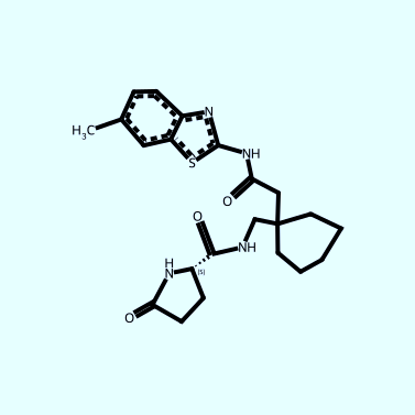 Cc1ccc2nc(NC(=O)CC3(CNC(=O)[C@@H]4CCC(=O)N4)CCCCC3)sc2c1